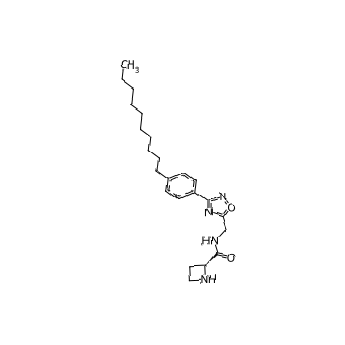 CCCCCCCCCCc1ccc(-c2noc(CNC(=O)[C@@H]3CCN3)n2)cc1